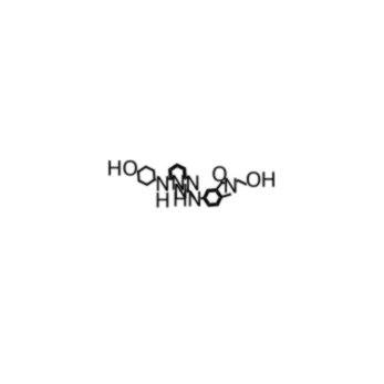 O=C1c2cc(Nc3nc4cccc(N[C@H]5CC[C@@H](O)CC5)n4n3)ccc2CN1CCO